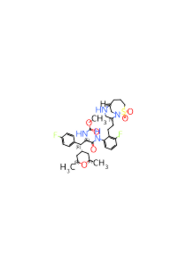 COC(=O)N[C@H](C(=O)Nc1cccc(F)c1CC[C@H]1CN[C@@H]2CCCS(=O)(=O)N1C2)[C@@H](c1ccc(F)cc1)C1C[C@@H](C)O[C@H](C)C1